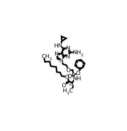 CCCCCCCCOC(=O)[C@H](CC)NP(=O)(COCCn1cnc2c(NC3CC3)nc(N)nc21)Oc1ccccc1